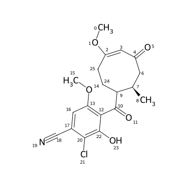 CO/C1=C/C(=O)C[C@@H](C)C(C(=O)c2c(OC)cc(C#N)c(Cl)c2O)CC1